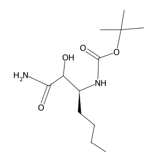 CCCC[C@H](NC(=O)OC(C)(C)C)C(O)C(N)=O